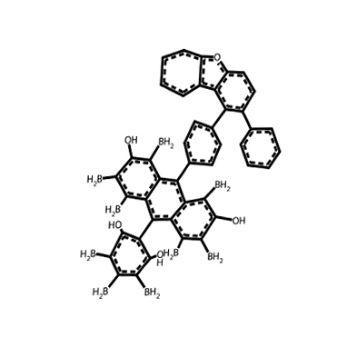 Bc1c(B)c(O)c(-c2c3c(B)c(B)c(O)c(B)c3c(-c3ccc(-c4c(-c5ccccc5)ccc5oc6ccccc6c45)cc3)c3c(B)c(O)c(B)c(B)c23)c(O)c1B